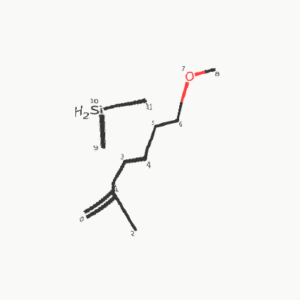 C=C(C)CCCCOC.C[SiH2]C